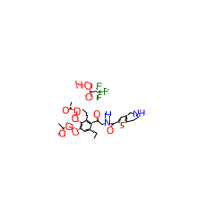 CCc1cc(OOC(C)=O)c(OOC(C)=O)c(CC)c1C(=O)CNC(=O)c1cc2c(s1)CCNC2.O=C(O)C(F)(F)F